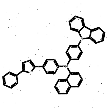 c1ccc(-c2ccc(-c3ccc(N(c4ccc(-n5c6ccccc6c6ccccc65)cc4)c4cccc5ccccc45)cc3)s2)cc1